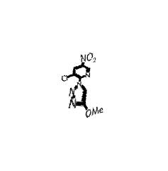 COc1cn(-c2ncc([N+](=O)[O-])cc2Cl)nn1